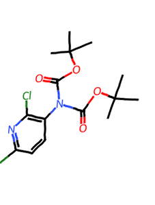 CC(C)(C)OC(=O)N(C(=O)OC(C)(C)C)c1ccc(Cl)nc1Cl